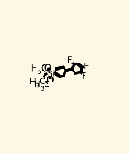 CC[Si](OC)(OC)c1ccc(-c2cc(F)c(F)cc2F)cc1